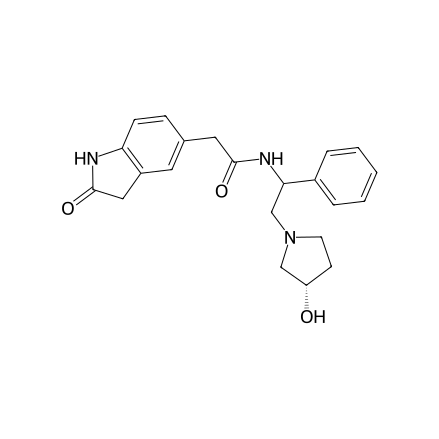 O=C1Cc2cc(CC(=O)NC(CN3CC[C@H](O)C3)c3ccccc3)ccc2N1